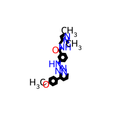 COc1ccc(-c2cccn3nc(Nc4cccc(C(=O)NCc5cc(C)nn5C)c4)nc23)cc1